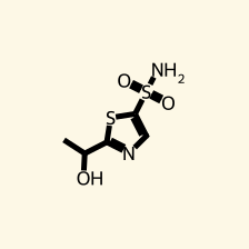 CC(O)c1ncc(S(N)(=O)=O)s1